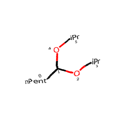 CCCCCC(OC(C)C)OC(C)C